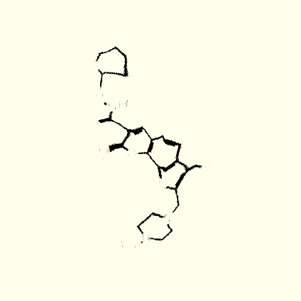 CN1CCN(Cc2sc3c(ccc4cc(C(=O)NOC5CCCCO5)c(=O)oc43)c2Br)CC1